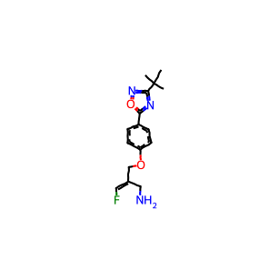 CC(C)(C)c1noc(-c2ccc(OC/C(=C/F)CN)cc2)n1